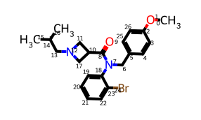 COc1ccc(CN(C(=O)C2CN(C[C](C)C)C2)c2ccccc2Br)cc1